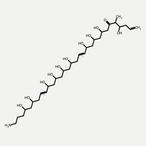 C=CCC(O)C(C)C(=O)CC(O)CC(O)CC(O)/C=C/CC(O)CC(O)CC(O)CC(O)/C=C/CC(O)CC(O)CCCN